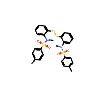 Cc1ccc(S(=O)(=O)N(C)c2ccccc2SSc2ccccc2N(C)S(=O)(=O)c2ccc(C)cc2)cc1